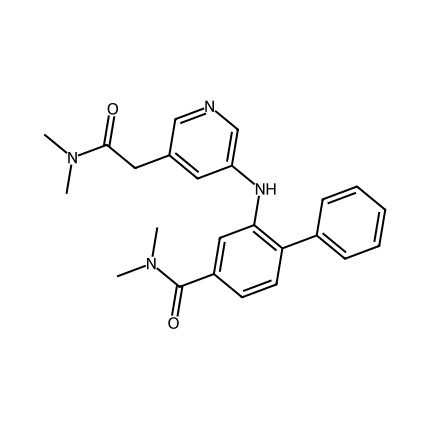 CN(C)C(=O)Cc1cncc(Nc2cc(C(=O)N(C)C)ccc2-c2ccccc2)c1